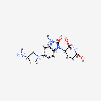 CNC1CCN(c2ccc3c(c2)n(C)c(=O)n3C2CCC(=O)NC2=O)C1